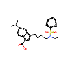 CCN(CCCCc1cc(C(=O)O)c2ccc(C(C)C)ccc1-2)S(=O)(=O)c1ccccc1